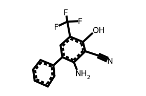 N#Cc1c(N)c(-c2ccccc2)cc(C(F)(F)F)c1O